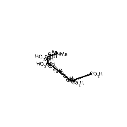 CNC(CCCCNC(=O)CC[C@H](NC(=O)CCC(NC(=O)COCCOCCNC(=O)COCCOCCNC(=O)CC[C@H](NC(=O)CCCCCCCCCCCCCCCCC(=O)O)C(=O)O)C(=O)O)C(=O)O)C(C)=O